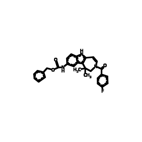 CC1(C)CN(C(=O)c2ccc(F)cc2)C=Cc2[nH]c3ccc(NC(=O)OCc4ccccc4)cc3c21